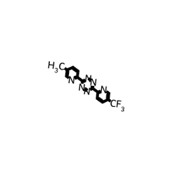 Cc1ccc(-c2nnc(-c3ccc(C(F)(F)F)cn3)nn2)nc1